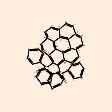 O=P(c1ccccc1)(c1ccccc1)c1c(P(=O)(c2ccccc2)c2ccccc2)c2ccc3ccc4ccc5ccc6ccc1c1c6c5c4c3c21